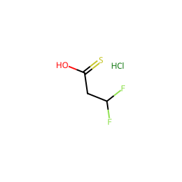 Cl.OC(=S)CC(F)F